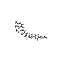 COc1ccc(-c2cn3c(n2)CN(C(=O)C[C@H](N)Cc2ccc(F)c(F)c2)CC3)cc1